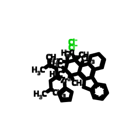 CC(C)C[C](CC(C)C)=[Zr+2]([C]1=CC=CC1)[C]1(C)C2=C3Cc4ccccc4C3=C3C=CCCC3C2(C)C(C)(C)C(C)(C)C1(C)C.[Cl-].[Cl-]